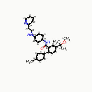 COC(C)(C)c1ccc(-c2ccc(C)cc2)c(C(=O)Nc2ccc(NCCc3ccccn3)cc2)c1